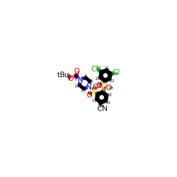 CC(C)(C)OC(=O)N1CCN(S(=O)(=O)c2cc(C#N)ccc2S(=O)(=O)c2cc(Cl)cc(Cl)c2)CC1